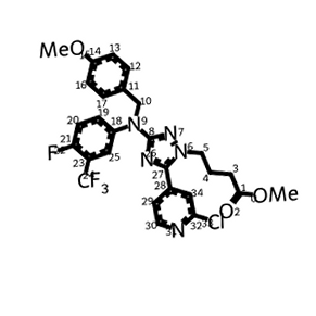 COC(=O)CCCn1nc(N(Cc2ccc(OC)cc2)c2ccc(F)c(C(F)(F)F)c2)nc1-c1ccnc(Cl)c1